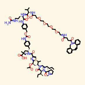 CCCCCCN(C(=O)[C@@H](NC(=O)[C@@]1(C)CCCN1C)[C@@H](C)CC)[C@H](C[C@@H](OC(C)=O)c1nc(C(=O)N[C@@H](Cc2ccc(NC(=O)OCc3ccc(NC(=O)[C@H](CCCNC(N)=O)NC(=O)[C@@H](NC(=O)CCOCCOCCOCCOCCNC(=O)CCC(=O)N4Cc5ccccc5C#Cc5ccccc54)C(C)C)cc3)cc2)CC(C)(C)C(=O)O)cs1)C(C)C